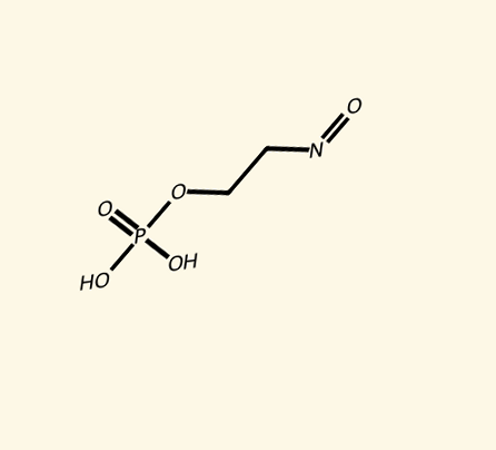 O=NCCOP(=O)(O)O